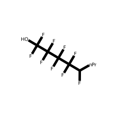 CCCC(F)C(F)(F)C(F)(F)C(F)(F)C(O)(F)F